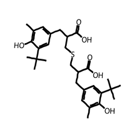 Cc1cc(CC(CSCC(Cc2cc(C)c(O)c(C(C)(C)C)c2)C(=O)O)C(=O)O)cc(C(C)(C)C)c1O